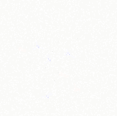 Cc1cc(C(C)Nc2ccccc2C(=O)O)c2nc(-c3ccncc3)cc(=O)n2c1